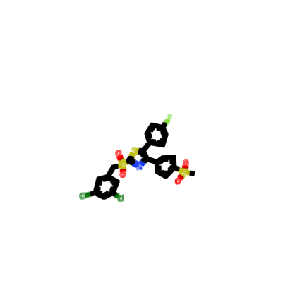 CS(=O)(=O)c1ccc(-c2nc(S(=O)(=O)Cc3cc(Cl)cc(Cl)c3)sc2-c2ccc(F)cc2)cc1